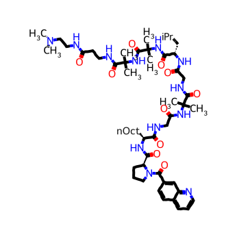 CCCCCCCC[C@H](NC(=O)[C@@H]1CCCN1C(=O)c1ccc2cccnc2c1)C(=O)NCC(=O)NC(C)(C)C(=O)NCC(=O)N[C@@H](CC(C)C)C(=O)NC(C)(C)C(=O)NC(C)(C)C(=O)NCCC(=O)NCCN(C)C